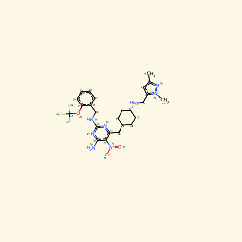 Cc1cc(CN[C@H]2CC[C@H](Cc3nc(NCc4ccccc4OC(F)(F)F)nc(N)c3[N+](=O)[O-])CC2)n(C)n1